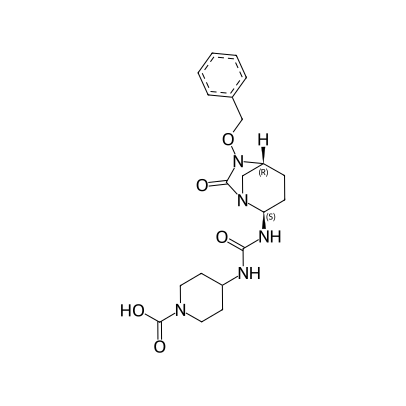 O=C(NC1CCN(C(=O)O)CC1)N[C@@H]1CC[C@@H]2CN1C(=O)N2OCc1ccccc1